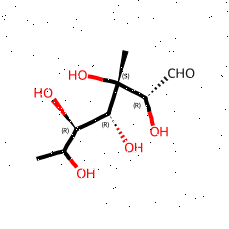 CC(O)[C@@H](O)[C@@H](O)[C@](C)(O)[C@@H](O)C=O